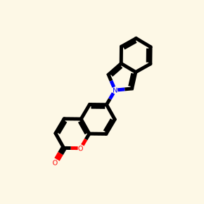 O=c1ccc2cc(-n3cc4ccccc4c3)ccc2o1